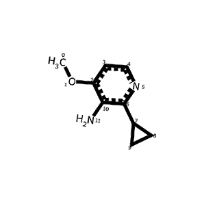 COc1ccnc(C2CC2)c1N